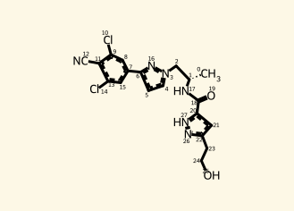 C[C@@H](Cn1ccc(-c2cc(Cl)c(C#N)c(Cl)c2)n1)NC(=O)c1cc(CCO)n[nH]1